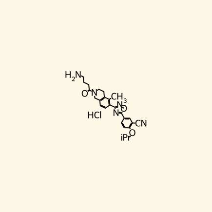 Cc1c(-c2noc(-c3ccc(OC(C)C)c(C#N)c3)n2)ccc2c1CCN(C(=O)CCCN)C2.Cl